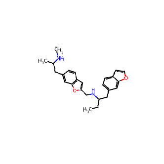 CCC(Cc1ccc2ccoc2c1)NCc1cc2ccc(CC(C)NC)cc2o1